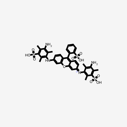 Cc1c(N)c(C)c(S(=O)(=O)O)c(C)c1/N=c1\ccc2c(-c3ccccc3S(=O)(=O)O)c3ccc(Nc4c(C)c(N)c(C)c(S(=O)(=O)O)c4C)cc3oc-2c1